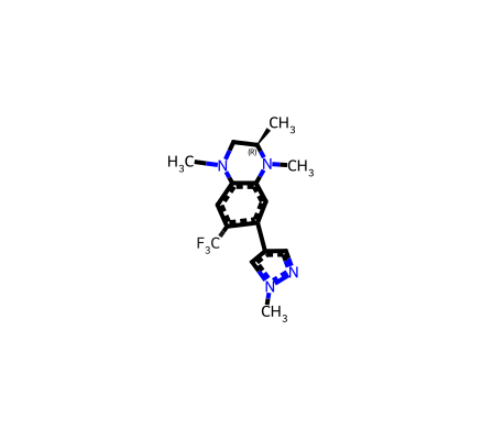 C[C@@H]1CN(C)c2cc(C(F)(F)F)c(-c3cnn(C)c3)cc2N1C